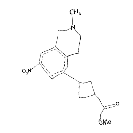 COC(=O)C1CC(c2cc([N+](=O)[O-])cc3c2CCN(C)C3)C1